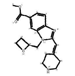 COC(=O)c1ccc2nc(C=C3CCNCC3)n(C[C@@H]3CCO3)c2c1